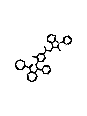 C=C(C1=CC=CCCC1)C1=C(/C(Cc2ccc(C(C)CC3c4cccnc4N(c4ccccn4)C3C)cc2C)=C2/C=CC=CC2)C=CCC=C1